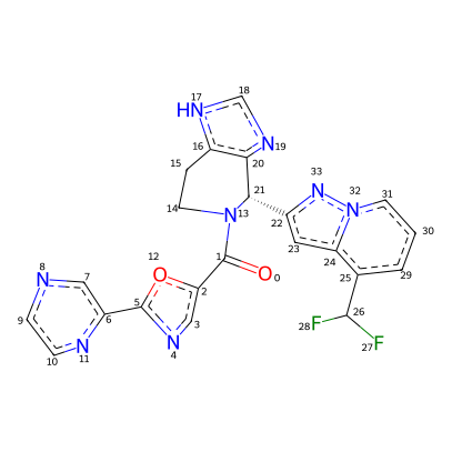 O=C(c1cnc(-c2cnccn2)o1)N1CCc2[nH]cnc2[C@@H]1c1cc2c(C(F)F)cccn2n1